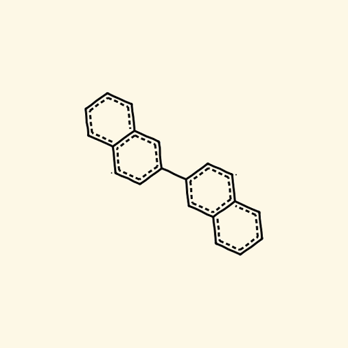 [c]1cc(-c2c[c]c3ccccc3c2)cc2ccccc12